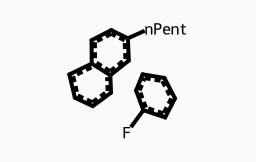 CCCCCc1ccc2ccccc2c1.Fc1ccccc1